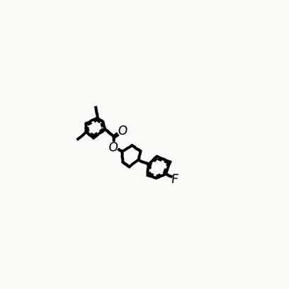 Cc1cc(C)cc(C(=O)OC2CCC(c3ccc(F)cc3)CC2)c1